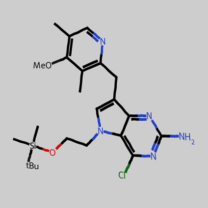 COc1c(C)cnc(Cc2cn(CCO[Si](C)(C)C(C)(C)C)c3c(Cl)nc(N)nc23)c1C